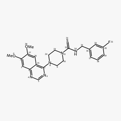 COc1cc2ncnc(N3CCN(C(=S)NCc4cccc(F)c4)CC3)c2cc1OC